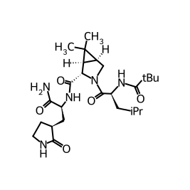 CC(C)C[C@H](NC(=O)C(C)(C)C)C(=O)N1C[C@H]2[C@@H]([C@H]1C(=O)N[C@@H](C[C@@H]1CCNC1=O)C(N)=O)C2(C)C